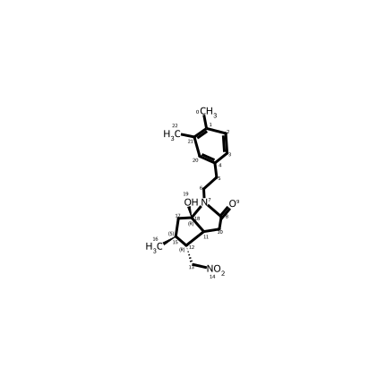 Cc1ccc(CCN2C(=O)CC3[C@H](C[N+](=O)[O-])[C@@H](C)C[C@@]32O)cc1C